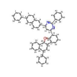 c1ccc(-c2ccc3cc(-c4cc(-c5cccc6c5oc5c7ccccc7c(-c7ccccc7)cc65)nc(-c5ccccc5)n4)ccc3c2)cc1